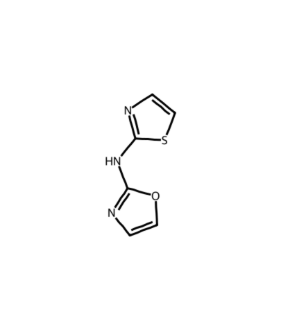 c1coc(Nc2nccs2)n1